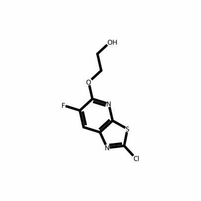 OCCOc1nc2sc(Cl)nc2cc1F